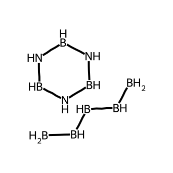 B1NBNBN1.BBBBB